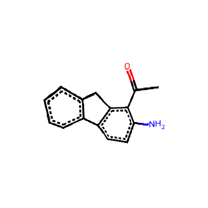 CC(=O)c1c(N)ccc2c1Cc1ccccc1-2